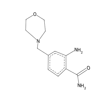 NC(=O)c1ccc(CN2CCOCC2)cc1N